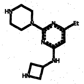 CCc1cc(NC2CNC2)nc(N2CCNCC2)n1